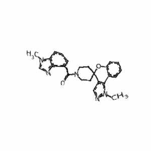 Cn1ncc2c1-c1ccccc1OC21CCN(C(=O)c2cccc3c2ncn3C)CC1